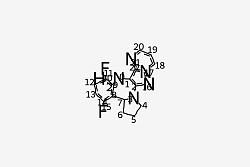 Nc1c(N2CCCC2c2cc(F)ccc2F)nn2cccnc12